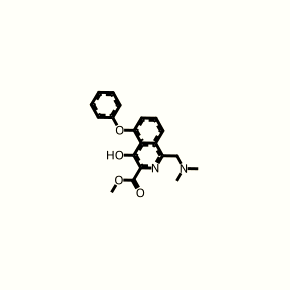 COC(=O)c1nc(CN(C)C)c2cccc(Oc3ccccc3)c2c1O